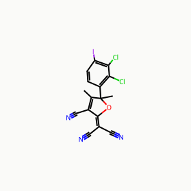 CC1=C(C#N)C(=C(C#N)C#N)OC1(C)c1ccc(I)c(Cl)c1Cl